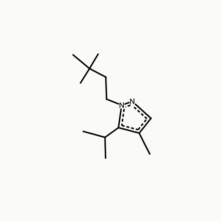 Cc1cnn(CCC(C)(C)C)c1C(C)C